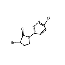 O=C1C(Br)CCN1c1ccc(Cl)nn1